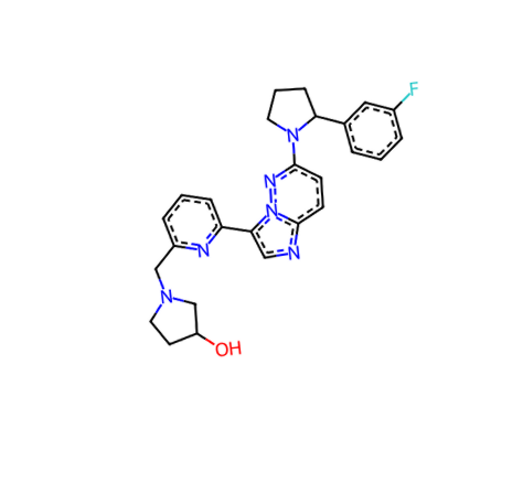 OC1CCN(Cc2cccc(-c3cnc4ccc(N5CCCC5c5cccc(F)c5)nn34)n2)C1